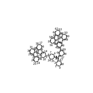 c1ccc(N(c2ccc(-c3ccc4c(c3)-c3ccccc3C43c4ccccc4-c4ccccc43)cc2)c2cccc(-c3ccc4c(c3)-c3ccccc3C43c4ccccc4-c4ccccc43)c2)cc1